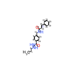 CCCNNC(=O)c1ccc(CNC(=O)/C=C/c2ccccc2)cc1